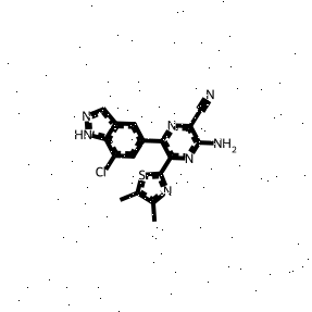 Cc1nc(-c2nc(N)c(C#N)nc2-c2cc(Cl)c3[nH]ncc3c2)sc1C